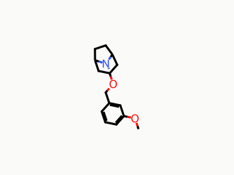 COc1cccc(COC2CC3CCC(C2)N3C)c1